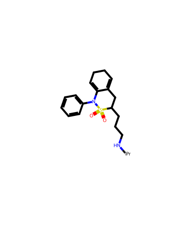 CC(C)NCCCC1CC2=CCCC=C2N(c2ccccc2)S1(=O)=O